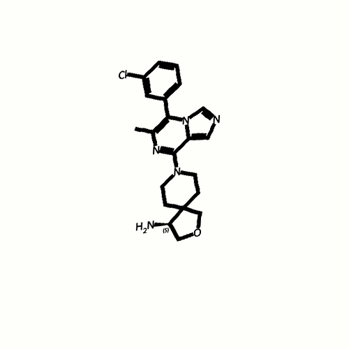 Cc1nc(N2CCC3(CC2)COC[C@H]3N)c2cncn2c1-c1cccc(Cl)c1